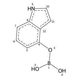 OB(O)Oc1cccc2[nH]ccc12